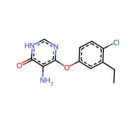 CCc1cc(Oc2nc[nH]c(=O)c2N)ccc1Cl